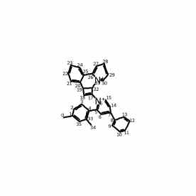 Cc1ccc(-c2cc(-c3ccccc3)cc[n+]2C2=CC3c4ccccc4-c4cccc[n+]4C23)c(C)c1